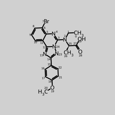 CCN(c1nc2c(Br)cccc2c2nc(-c3ccc(OC)cc3)nn12)[C@H](C)C(=O)O